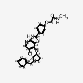 CNC(=O)COc1ccc(-c2nc3c(NC4CCN(Cc5ccccc5)C4)c(Cl)cnc3[nH]2)cc1